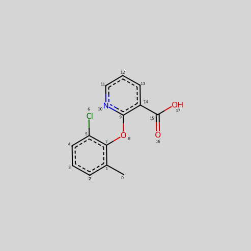 Cc1cccc(Cl)c1Oc1ncccc1C(=O)O